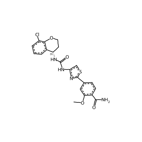 COc1cc(-c2nc(NC(=O)N[C@H]3CCOc4c(Cl)cccc43)cs2)ccc1C(N)=O